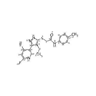 CCn1c(SCC(=O)Nc2ccc(C)cc2)nnc1-c1cnc(F)cc1F